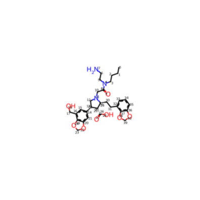 CCCCN(CCN)C(=O)CN1C[C@H](c2cc(CO)c3c(c2)OCO3)[C@@H](C(=O)O)[C@@H]1CCc1cccc2c1OCO2